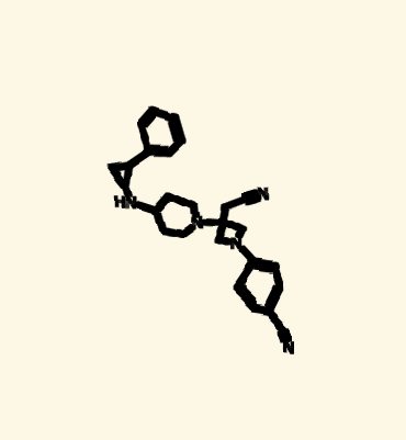 N#CCC1(N2CCC(NC3CC3c3ccccc3)CC2)CN(c2ccc(C#N)cc2)C1